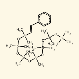 C[Si](C)(C)O[Si](C)(C)O[Si](C)(C)O[Si](C)(C)O[Si](C)(C)O[Si](C)(C)O[Si](C)(C)C=Cc1ccccc1